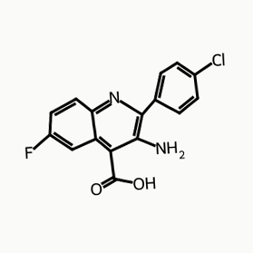 Nc1c(-c2ccc(Cl)cc2)nc2ccc(F)cc2c1C(=O)O